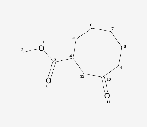 COC(=O)C1CCCCCC(=O)C1